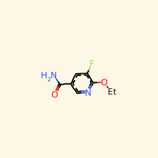 CCOc1ncc(C(N)=O)cc1F